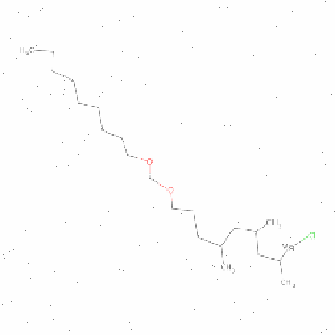 CCCCCCCCCOCOCCCC(C)CC(C)C[CH](C)[Mg][Cl]